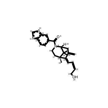 C=C1C[C@H]2N(C(=O)c3ccc4ncsc4c3)CC[C@@](C)(/C1=C/C=C\CO)C2(C)C